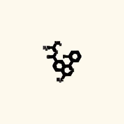 Cc1cnc(-c2ccccc2F)c2cc(C(=O)N=C(N)N)ccc12